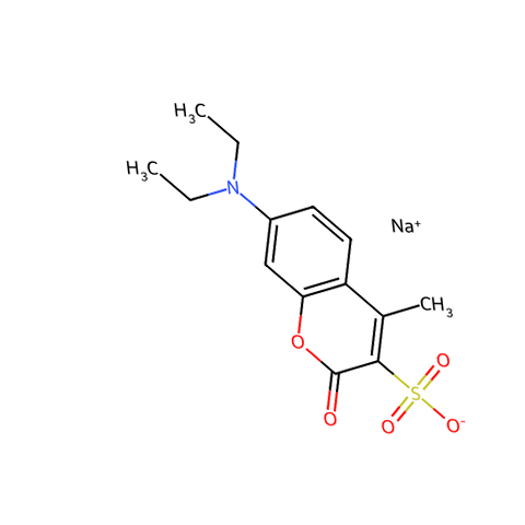 CCN(CC)c1ccc2c(C)c(S(=O)(=O)[O-])c(=O)oc2c1.[Na+]